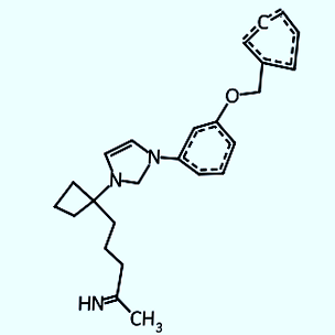 CC(=N)CCCC1(N2C=CN(c3cccc(OCc4ccccc4)c3)C2)CCC1